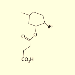 CC1CCC(C(C)C)[C@H](OC(=O)CCC(=O)O)C1